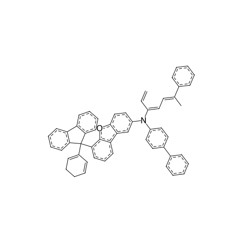 C=C/C(=C\C=C(/C)c1ccccc1)N(c1ccc(-c2ccccc2)cc1)c1ccc2oc3c(C4(C5=CCCC=C5)c5ccccc5-c5ccccc54)cccc3c2c1